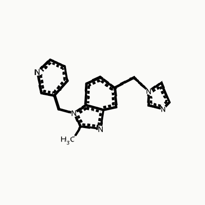 Cc1nc2cc(Cn3ccnc3)ccc2n1Cc1cccnc1